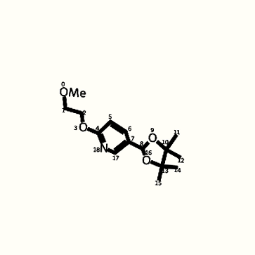 COCCOc1ccc(C2OC(C)(C)C(C)(C)O2)cn1